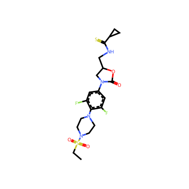 CCS(=O)(=O)N1CCN(c2c(F)cc(N3CC(CNC(=S)C4CC4)OC3=O)cc2F)CC1